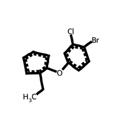 CCc1ccccc1Oc1ccc(Br)c(Cl)c1